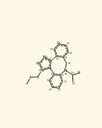 CCCn1nnc2c1-c1ccccc1N(C(C)C)Cc1ccccc1-2